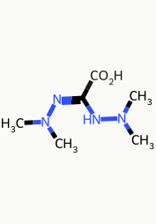 CN(C)N=C(NN(C)C)C(=O)O